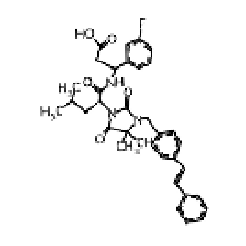 CC(C)C[C@@H](C(=O)NC(CC(=O)O)c1cccc(F)c1)N1C(=O)N(Cc2ccc(C=Cc3ccccc3)cc2)C(C)(C)C1=O